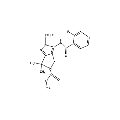 CCOC(=O)n1nc2c(c1NC(=O)c1ccccc1F)CN(C(=O)OC(C)(C)C)C2(C)C